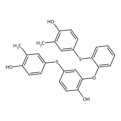 Cc1cc(Sc2ccc(O)c(Oc3ccccc3Sc3ccc(O)c(C)c3)c2)ccc1O